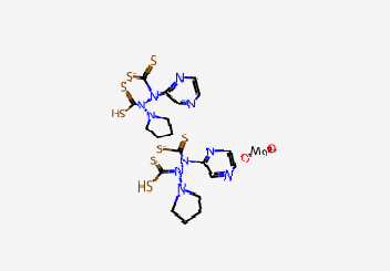 S=C([S-])N(c1cnccn1)N(C(=S)S)N1CCCC1.S=C([S-])N(c1cnccn1)N(C(=S)S)N1CCCC1.[O]=[Mo+2]=[O]